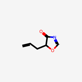 C=CCC1O[C]=NC1=O